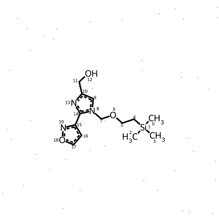 C[Si](C)(C)CCOCn1cc(CO)nc1-c1ccon1